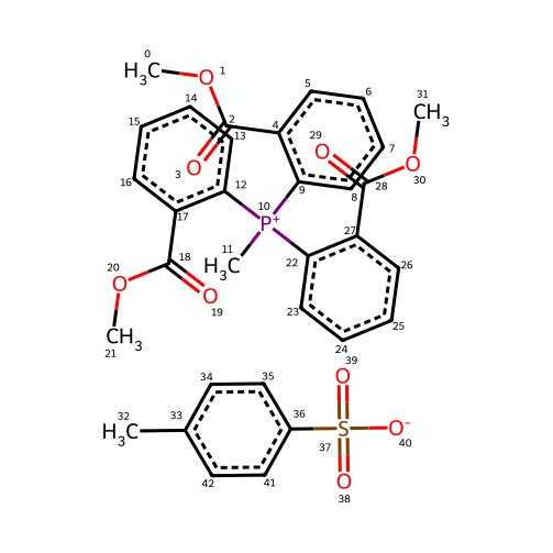 COC(=O)c1ccccc1[P+](C)(c1ccccc1C(=O)OC)c1ccccc1C(=O)OC.Cc1ccc(S(=O)(=O)[O-])cc1